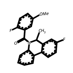 COc1ccc(F)c(C(=O)N2c3ccccc3-c3ccc(F)cc3C2C)c1